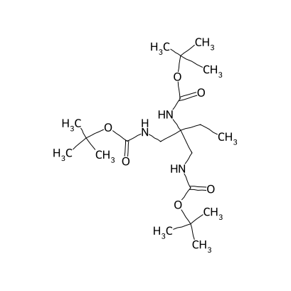 CCC(CNC(=O)OC(C)(C)C)(CNC(=O)OC(C)(C)C)NC(=O)OC(C)(C)C